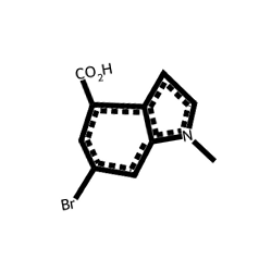 Cn1ccc2c(C(=O)O)cc(Br)cc21